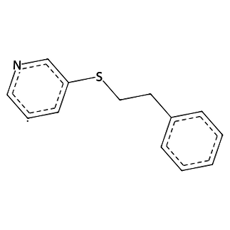 [c]1cncc(SCCc2ccccc2)c1